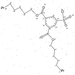 CC(C)CCCCCOC(=O)c1cc(C(=O)OCCCCCC(C)C)cc(S(=O)(=O)Cl)c1